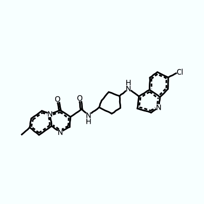 Cc1ccn2c(=O)c(C(=O)NC3CCC(Nc4ccnc5cc(Cl)ccc45)CC3)cnc2c1